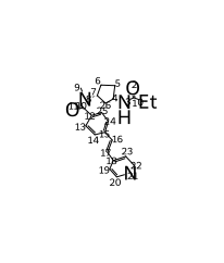 CCC(=O)N[C@H]1CC[C@@H](N(C)C(=O)c2ccc(/C=C/c3ccncc3)cc2)C1